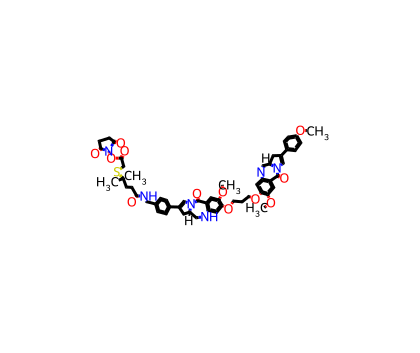 COc1ccc(C2=CN3C(=O)c4cc(OC)c(OCCCOc5cc6c(cc5OC)C(=O)N5C=C(c7ccc(CNC(=O)CCC(C)(C)SCC(=O)ON8C(=O)CCC8=O)cc7)C[C@H]5CN6)cc4N=C[C@@H]3C2)cc1